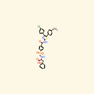 Cc1ccc(-c2sc(NC(=O)c3ccc(S(=O)(=O)CNC(Cc4ccccc4)C(=O)O)cc3)nc2-c2ccc(Cl)cc2)cc1